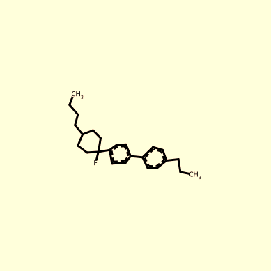 CCCCC1CCC(F)(c2ccc(-c3ccc(CCC)cc3)cc2)CC1